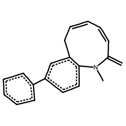 C=C1/C=C\C=C/Cc2cc(-c3ccccc3)ccc2N1C